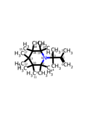 C=C(C)C(C)(C)N1C(C)(C)C(C)(C)C(C)(C)C(C)(C)C1(C)C